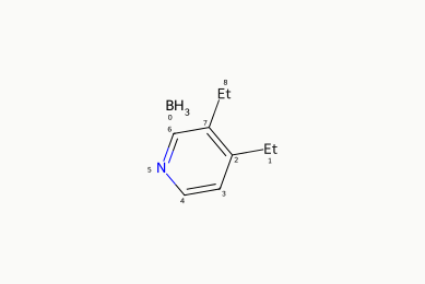 B.CCc1ccncc1CC